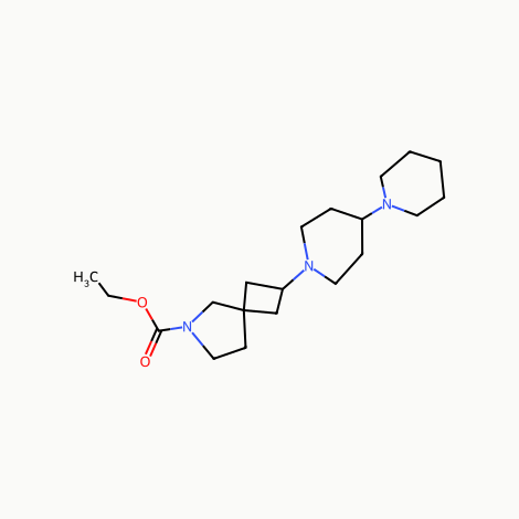 CCOC(=O)N1CCC2(CC(N3CCC(N4CCCCC4)CC3)C2)C1